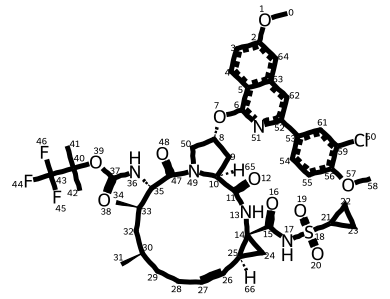 COc1ccc2c(O[C@@H]3C[C@H]4C(=O)N[C@]5(C(=O)NS(=O)(=O)C6CC6)C[C@H]5C=CCC[C@@H](C)C[C@@H](C)[C@H](NC(=O)OC(C)(C)C(F)(F)F)C(=O)N4C3)nc(-c3ccc(OC)c(Cl)c3)cc2c1